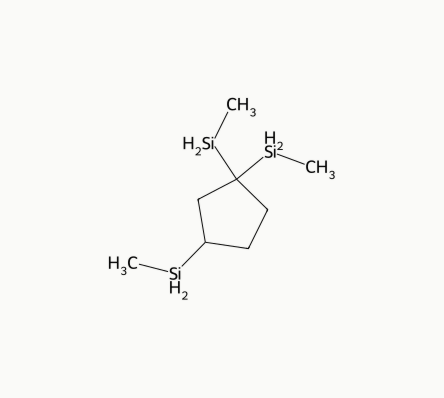 C[SiH2]C1CCC([SiH2]C)([SiH2]C)C1